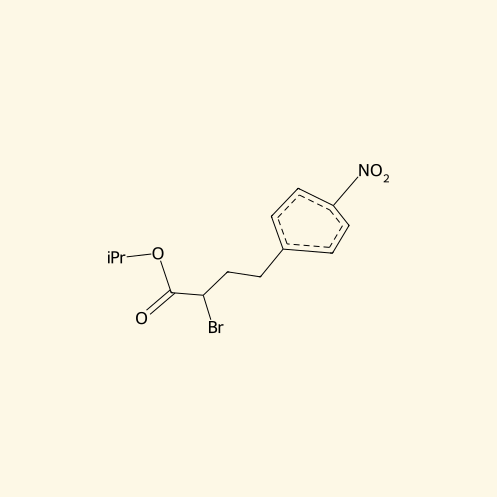 CC(C)OC(=O)C(Br)CCc1ccc([N+](=O)[O-])cc1